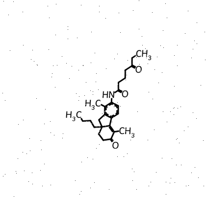 CCCCC12CCC(=O)C(C)=C1c1ccc(NC(=O)CCCC(=O)CC)c(C)c1C2